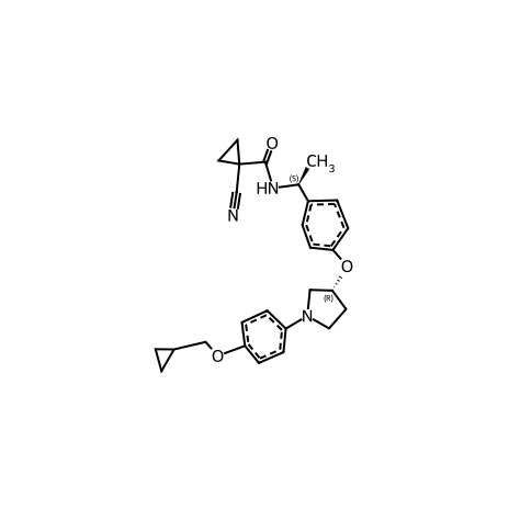 C[C@H](NC(=O)C1(C#N)CC1)c1ccc(O[C@@H]2CCN(c3ccc(OCC4CC4)cc3)C2)cc1